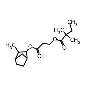 CCC(C)(C)C(=O)OCCC(=O)OC1C2CCC(C2)C1C